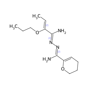 C/C=C(OCCC)/C(N)=N/N=C(\N)C1=CCCCO1